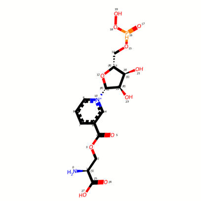 N[C@@H](COC(=O)c1ccc[n+]([C@@H]2O[C@H](CO[PH](=O)OO)[C@@H](O)[C@H]2O)c1)C(=O)O